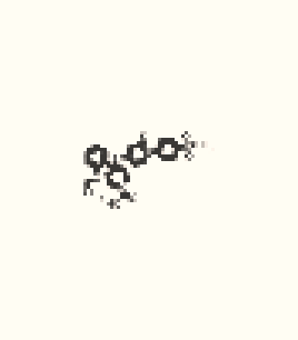 CCOc1ccccc1C1(Oc2ccn(-c3ccc(S(C)(=O)=O)cc3)c(=O)c2)CCN(C(=O)O)CC1